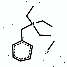 CC[N+](CC)(CC)Cc1ccccc1.C[O-]